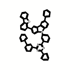 c1ccc(-c2cccc(-c3nc(-c4ccccc4)nc(-c4cccc(-n5c6ccc(-c7ccccc7)cc6c6cc(-c7cccc8c7oc7ccccc78)ccc65)c4)n3)c2)cc1